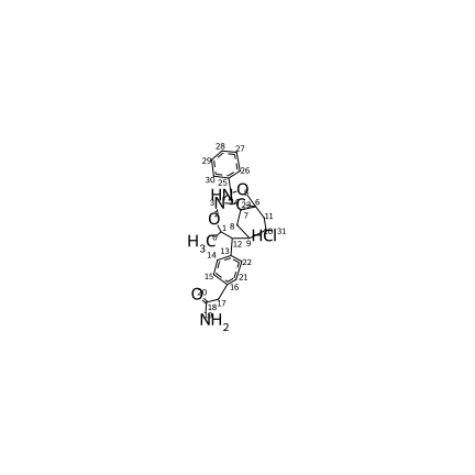 CC1ON2NOC3(CCC(CC3)C1c1ccc(CC(N)=O)cc1)CC2c1ccccc1.Cl